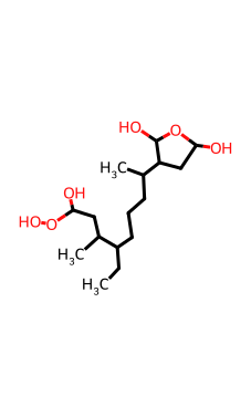 CCC(CCCC(C)C1CC(O)OC1O)C(C)CC(O)OO